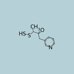 CC(SS)C(=O)Cc1cccnc1